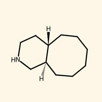 C1CCC[C@H]2CNCC[C@@H]2CC1